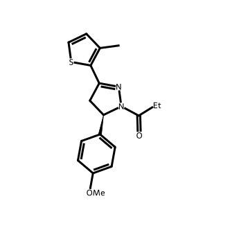 CCC(=O)N1N=C(c2sccc2C)C[C@@H]1c1ccc(OC)cc1